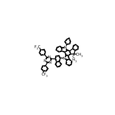 CC1(C)c2ccccc2-c2c1c1c3ccccc3n(-c3ccc(-c4nc(-c5ccc(C(F)(F)F)cc5)nc(-c5ccc(C(F)(F)F)cc5)n4)c4ccccc34)c1c1c3ccccc3n(-c3ccccc3)c21